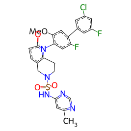 COc1cc(-c2cc(F)cc(Cl)c2)c(F)cc1-n1c2c(ccc1=O)CN(S(=O)(=O)Nc1cc(C)ncn1)CC2